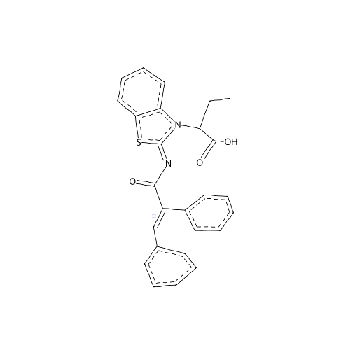 CCC(C(=O)O)n1c(=NC(=O)/C(=C/c2ccccc2)c2ccccc2)sc2ccccc21